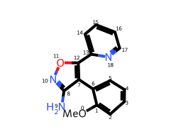 COc1ccccc1-c1c(N)noc1-c1ccccn1